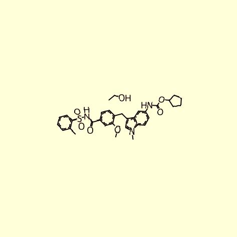 CCO.COc1cc(C(=O)NS(=O)(=O)c2ccccc2C)ccc1Cc1cn(C)c2ccc(NC(=O)OC3CCCC3)cc12